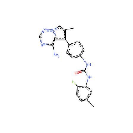 Cc1ccc(F)c(NC(=O)Nc2ccc(-c3c(C)cn4ncnc(N)c34)cc2)c1